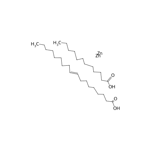 CCCCCCCCC=CCCCCCCCC(=O)O.CCCCCCCCCCCC(=O)O.[Zn].[Zn]